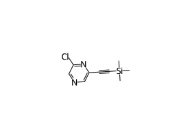 C[Si](C)(C)C#Cc1cncc(Cl)n1